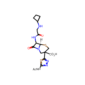 CC(=O)Nc1nnc(C2(C(=O)O)CS[C@@H]3C(NC(=O)CNC4CCC4)C(=O)N3C2)s1